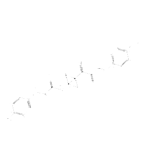 N=C(C(=O)COc1ccc(Cl)cc1)C12CC1(NC(=O)COc1ccc(Cl)cc1)C2